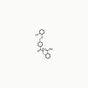 O=C(NCc1ccccc1C(=O)O)c1ccc(COc2ccccc2Cl)cc1